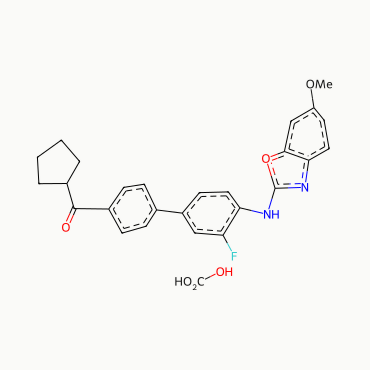 COc1ccc2nc(Nc3ccc(-c4ccc(C(=O)C5CCCC5)cc4)cc3F)oc2c1.O=C(O)O